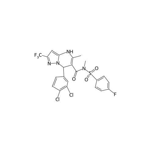 CC1=C(C(=O)N(C)S(=O)(=O)c2ccc(F)cc2)C(c2ccc(Cl)c(Cl)c2)n2nc(C(F)(F)F)cc2N1